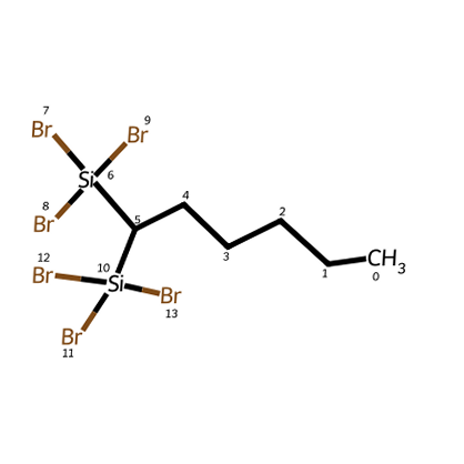 CCCCCC([Si](Br)(Br)Br)[Si](Br)(Br)Br